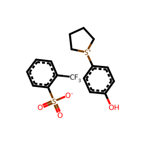 O=S(=O)([O-])c1ccccc1C(F)(F)F.Oc1ccc([S+]2CCCC2)cc1